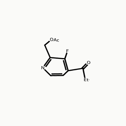 C[CH]C(=O)c1ccnc(COC(C)=O)c1F